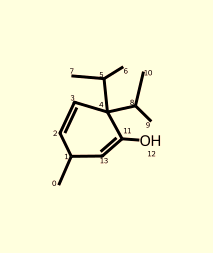 CC1C=CC(C(C)C)(C(C)C)C(O)=C1